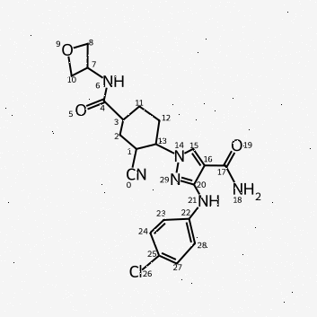 N#CC1CC(C(=O)NC2COC2)CCC1n1cc(C(N)=O)c(Nc2ccc(Cl)cc2)n1